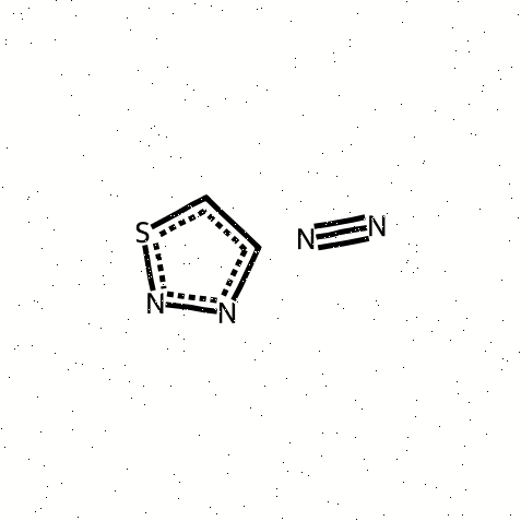 N#N.c1csnn1